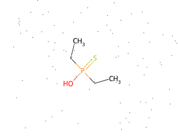 CCP(O)(=S)CC